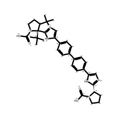 CC(C)(C)C1CCN(C(=O)O)[C@]1(c1ncc(-c2ccc(-c3ccc(-c4cnc([C@@H]5CCCN5C(=O)O)[nH]4)cc3)cc2)[nH]1)C(C)(C)C